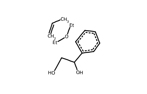 C=CC.CCOCC.OCC(O)c1ccccc1